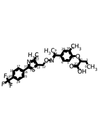 CCC(Oc1ccc(C(C)=NOCc2sc(-c3ccc(C(F)(F)F)cc3)nc2C)cc1C)C(=O)O